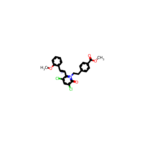 COC(=O)c1ccc(CCn2c(/C=C/c3ccccc3OC)c(Cl)cc(Cl)c2=O)cc1